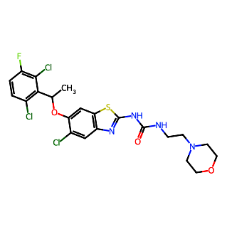 CC(Oc1cc2sc(NC(=O)NCCN3CCOCC3)nc2cc1Cl)c1c(Cl)ccc(F)c1Cl